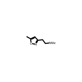 CNCCc1cc(C)on1